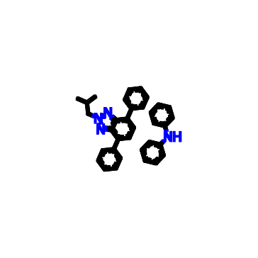 CC(C)Cn1nc2c(-c3ccccc3)ccc(-c3ccccc3)c2n1.c1ccc(Nc2ccccc2)cc1